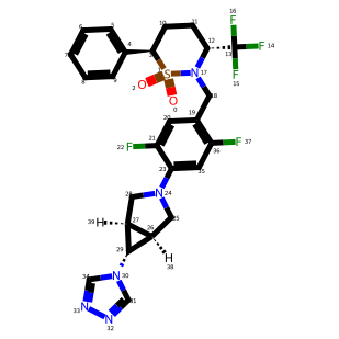 O=S1(=O)[C@@H](c2ccccc2)CC[C@H](C(F)(F)F)N1Cc1cc(F)c(N2C[C@@H]3[C@H](C2)[C@H]3n2cnnc2)cc1F